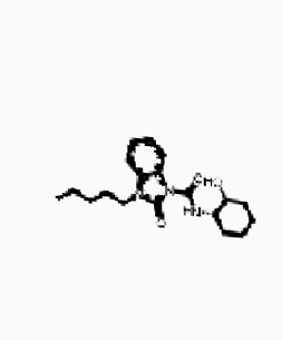 CCCCCn1c(=O)n(C(=O)N[C@H]2CCCC[C@@H]2O)c2ccccc21